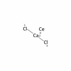 [Ce].[Cl][Ca][Cl]